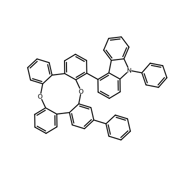 c1ccc(-c2ccc3c(c2)Oc2c(cccc2-c2cccc4c2c2ccccc2n4-c2ccccc2)-c2ccccc2Oc2ccccc2-3)cc1